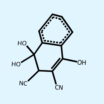 N#CC1=C(O)c2ccccc2C(O)(O)C1C#N